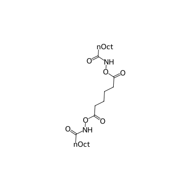 CCCCCCCCC(=O)NOC(=O)CCCCC(=O)ONC(=O)CCCCCCCC